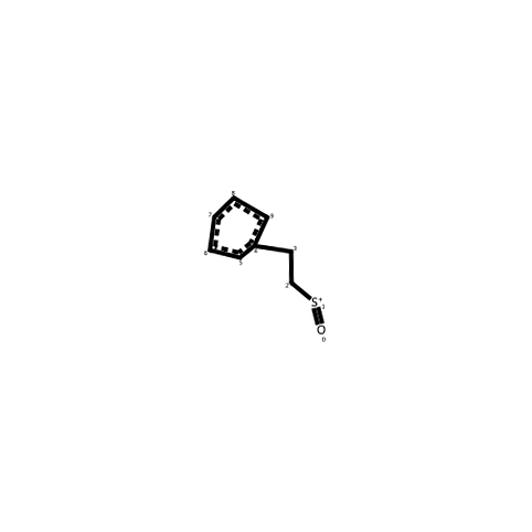 O=[S+]CCc1ccccc1